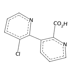 O=C(O)c1ncccc1-c1ncccc1Cl